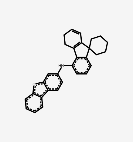 C1=CC2=C(CC1)c1c(Nc3ccc4c(c3)oc3ccccc34)cccc1C21CCCCC1